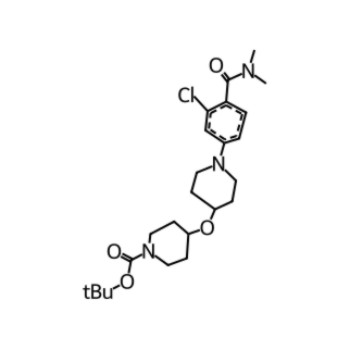 CN(C)C(=O)c1ccc(N2CCC(OC3CCN(C(=O)OC(C)(C)C)CC3)CC2)cc1Cl